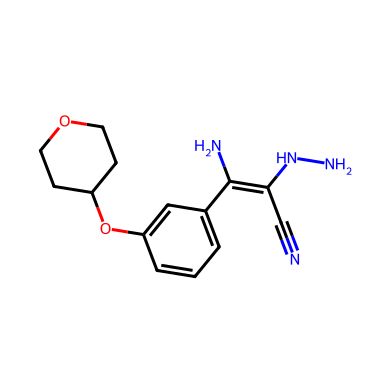 N#C/C(NN)=C(/N)c1cccc(OC2CCOCC2)c1